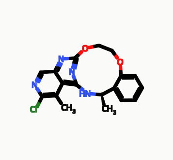 Cc1c(Cl)ncc2nc3nc(c12)N[C@H](C)c1ccccc1OCCO3